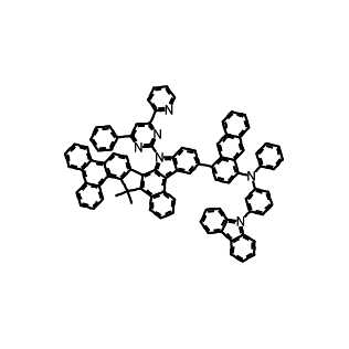 CC1(C)c2c(c3c(c4ccccc24)c2cc(-c4ccc(N(c5ccccc5)c5cccc(-n6c7ccccc7c7ccccc76)c5)c5cc6ccccc6cc45)ccc2n3-c2nc(-c3ccccc3)cc(-c3ccccn3)n2)-c2ccc3c4ccccc4c4ccccc4c3c21